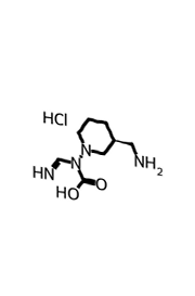 Cl.N=CN(C(=O)O)N1CCC[C@@H](CN)C1